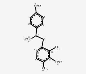 COc1ccc(N(Cc2ncc(C)c(OC)c2C)C(=O)O)cc1